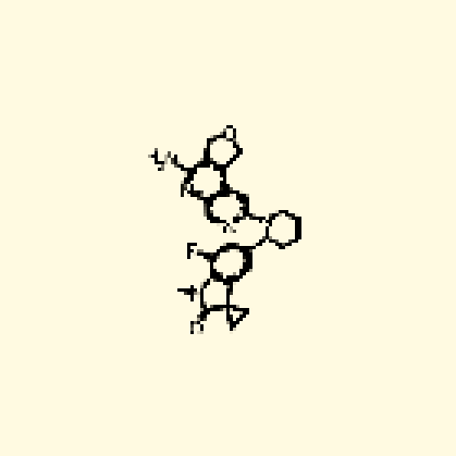 CN1C(=O)C2(CC2)c2cc(C3CCCCN3c3cc4c5c(c(N)nc4cn3)COC5)cc(F)c21